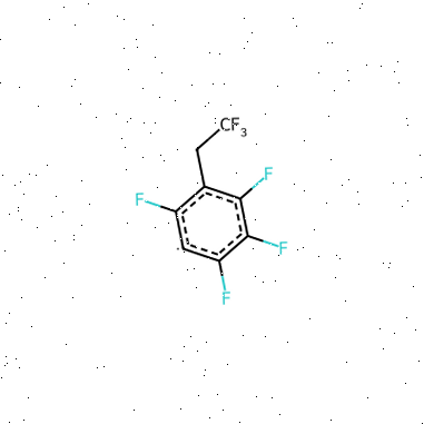 Fc1[c]c(F)c(CC(F)(F)F)c(F)c1F